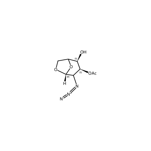 CC(=O)O[C@H]1C(N=[N+]=[N-])[C@@H]2OCC(O2)[C@H]1O